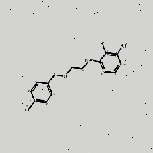 Cc1c(Cl)ncnc1NCCOCc1ccc(Cl)cc1